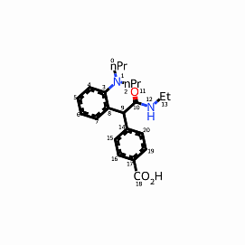 CCCN(CCC)c1ccccc1C(C(=O)NCC)c1ccc(C(=O)O)cc1